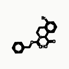 O=C(O)C1c2cccc(Br)c2CCN1C(=O)OCc1ccccc1